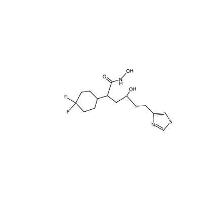 O=C(NO)C(CC(O)[CH]Cc1cscn1)C1CCC(F)(F)CC1